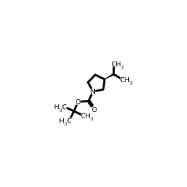 CC(C)[C@@H]1CCN(C(=O)OC(C)(C)C)C1